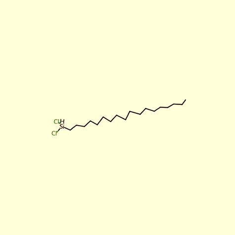 CCCCCCCCCCCCCCCCCC[SiH](Cl)Cl